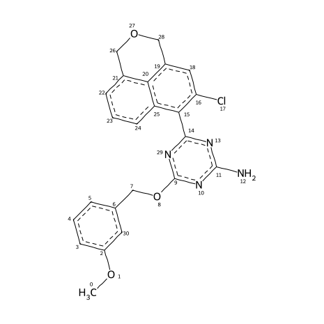 COc1cccc(COc2nc(N)nc(-c3c(Cl)cc4c5c(cccc35)COC4)n2)c1